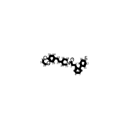 O=C(CCc1ccccc1-c1ccc(F)cc1)N1CCC(CCc2ccc3c(c2)OCCCO3)CC1